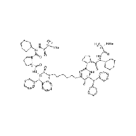 CN[C@@H](C)C(=O)N[C@H](C(=O)N1CCCC1C(=O)N[C@H](C(=O)NCCCCCCNC(=O)[C@@H](NC(=O)[C@@H]1CCCN1C(=O)[C@@H](NC(=O)[C@@H](C)NC)C1CCCCC1)C(c1ccccc1)c1ccccc1)C(c1ccccc1)c1ccccc1)C1CCCCC1